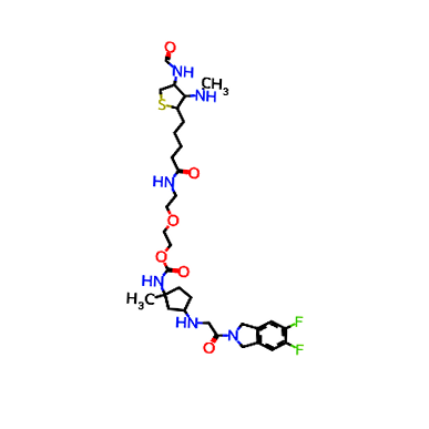 CNC1C(NC=O)CSC1CCCCC(=O)NCCOCCOC(=O)NC1(C)CCC(NCC(=O)N2Cc3cc(F)c(F)cc3C2)C1